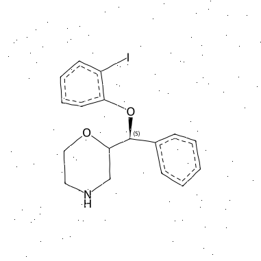 Ic1ccccc1O[C@@H](c1ccccc1)C1CNCCO1